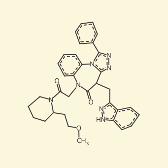 COCCC1CCCCN1C(=O)CN1C(=O)C(Cc2n[nH]c3ccccc23)c2nnc(-c3ccccc3)n2-c2ccccc21